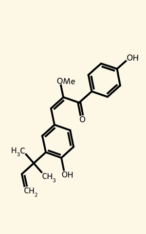 C=CC(C)(C)c1cc(C=C(OC)C(=O)c2ccc(O)cc2)ccc1O